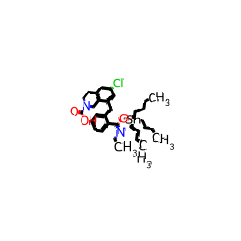 CCC[CH2][Sn]([CH2]CCC)([CH2]CCC)[O]/C(=N/CC)c1ccccc1Cc1cc(Cl)cc2c1CN(C(=O)O)CC2